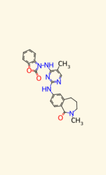 Cc1cnc(Nc2ccc3c(c2)CCCN(C)C3=O)nc1Nn1c(=O)oc2ccccc21